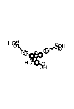 O=C(O)c1ccc(C(=O)O)c(-c2c3ccc(=[N+]4CCN(CCCCS(=O)(=O)O)CC4)cc-3oc3cc(N4CCN(CCCCS(=O)(=O)O)CC4)ccc23)c1